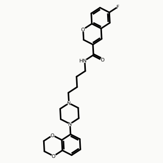 O=C(NCCCCN1CCN(c2cccc3c2OCCO3)CC1)C1=Cc2cc(F)ccc2OC1